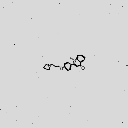 Cn1c(-c2ccc(OCCCN3CCCC3)cc2)cc(=O)c2ccccc21